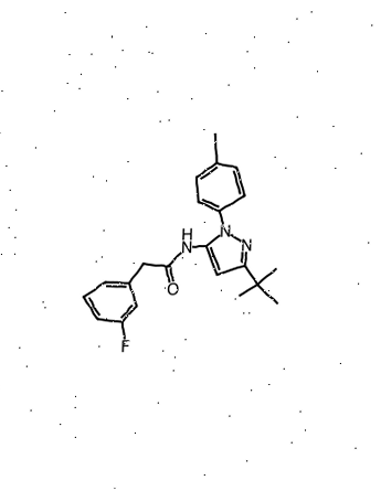 Cc1ccc(-n2nc(C(C)(C)C)cc2NC(=O)Cc2cccc(F)c2)cc1